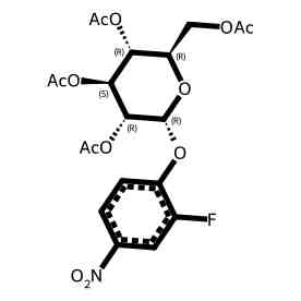 CC(=O)OC[C@H]1O[C@H](Oc2ccc([N+](=O)[O-])cc2F)[C@H](OC(C)=O)[C@@H](OC(C)=O)[C@@H]1OC(C)=O